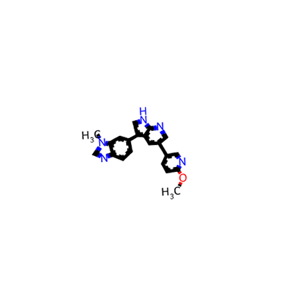 COc1ccc(-c2cnc3[nH]cc(-c4ccc5ncn(C)c5c4)c3c2)cn1